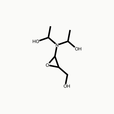 CC(O)N(C(C)O)C1OC1CO